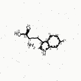 N[C@@H](Cc1c[nH]c2cc(I)ccc12)C(=O)O